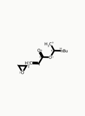 C1CO1.C=CC(=O)OC(C)CCCC